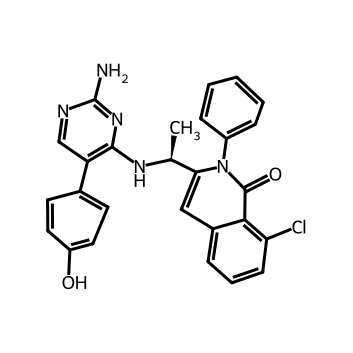 C[C@H](Nc1nc(N)ncc1-c1ccc(O)cc1)c1cc2cccc(Cl)c2c(=O)n1-c1ccccc1